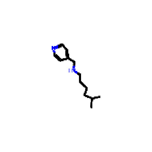 CC(C)CCCCNCc1ccncc1